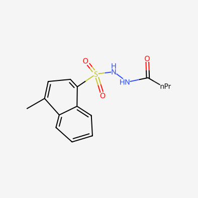 CCCC(=O)NNS(=O)(=O)c1ccc(C)c2ccccc12